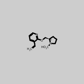 C=Cc1cccnc1OC[C@H]1CCCN1C(=O)O